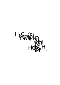 COC(=O)C(C)(C)/C=C/c1ccc2ccc(CNC(=O)[C@@H]3CCCN(C(=O)[C@H](C)NC(=O)C(O)C(C)C)N3)nc2c1